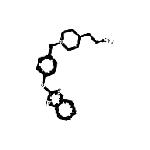 [CH2]CCC1CCN(Cc2ccc(Oc3nc4ccccc4s3)cc2)CC1